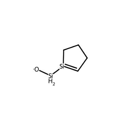 [O][SiH2][Si]1=CCCC1